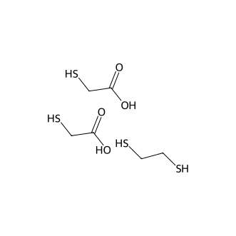 O=C(O)CS.O=C(O)CS.SCCS